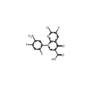 Nc1cc(-n2cc(C(=O)O)c(=O)c3cc(F)c(Cl)nc32)c(F)cc1F